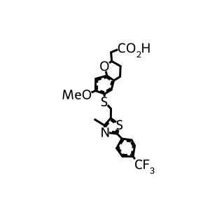 COc1cc2c(cc1SCc1sc(-c3ccc(C(F)(F)F)cc3)nc1C)CCC(CC(=O)O)O2